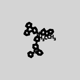 CC1(C)c2ccccc2-c2ccc(N(c3ccc(-c4ccc5c(c4)c4ccccc4n5-c4ccccc4)cc3)c3ccc4c5ccccc5c5ccccc5c4c3)cc21